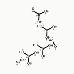 CC(=O)[O-].OB(O)O.OB(O)O.OB(O)O.[Na+].[Na+].[O-]B(O)O